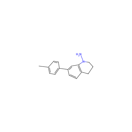 Cc1ccc(-c2ccc3c(c2)N(N)CCC3)cc1